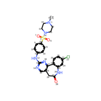 CCN1CCN(S(=O)(=O)c2ccc(Nc3ncc4c(n3)-c3ccc(Cl)cc3NC(=O)C4)cc2)CC1